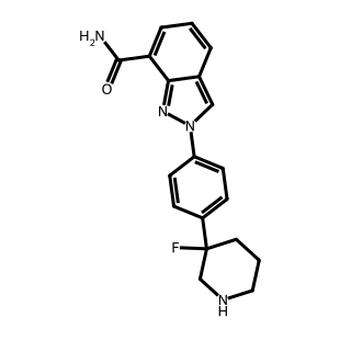 NC(=O)c1cccc2cn(-c3ccc(C4(F)CCCNC4)cc3)nc12